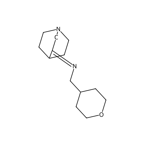 C1CC(C/N=C2/CN3CCC2CC3)CCO1